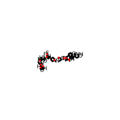 CC(C1CC1)n1nc(C2CCC(=O)NC2=O)c2cccc(C#CCOC3CCN(CC4CCC(n5cc(NC(=O)c6cnn7ccc(N8C[C@H]9C[C@@H]8CO9)nc67)c(C(F)F)n5)CC4)CC3)c21